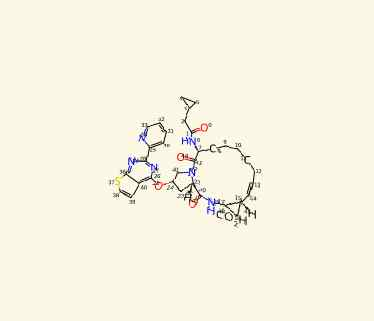 O=C(CC1CC1)N[C@H]1CCCCCC=C[C@@H]2C[C@@]2(C(=O)O)NC(=O)[C@@H]2C[C@@H](Oc3nc(-c4ccccn4)nc4sccc34)CN2C1=O